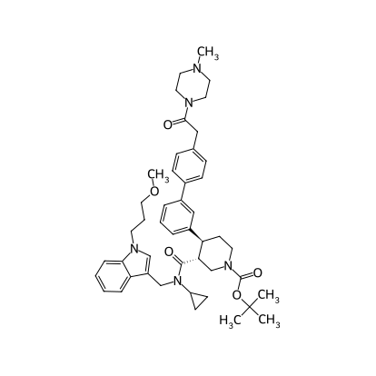 COCCCn1cc(CN(C(=O)[C@H]2CN(C(=O)OC(C)(C)C)CC[C@@H]2c2cccc(-c3ccc(CC(=O)N4CCN(C)CC4)cc3)c2)C2CC2)c2ccccc21